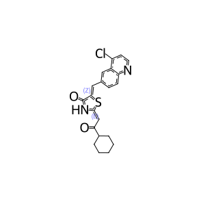 O=C(/C=c1\[nH]c(=O)/c(=C/c2ccc3nccc(Cl)c3c2)s1)C1CCCCC1